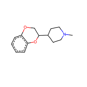 CN1CCC(C2COc3ccccc3O2)CC1